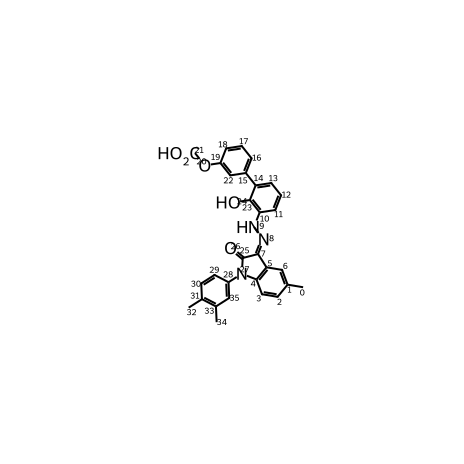 Cc1ccc2c(c1)C(=NNc1cccc(-c3cccc(OC(=O)O)c3)c1O)C(=O)N2c1ccc(C)c(C)c1